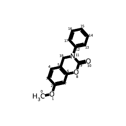 COc1ccc2c(c1)OC(=O)N(c1ccccc1)C2